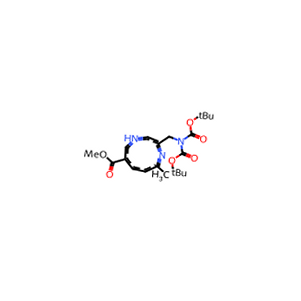 COC(=O)c1ccc(C)nc(CN(C(=O)OC(C)(C)C)C(=O)OC(C)(C)C)c[nH]c1